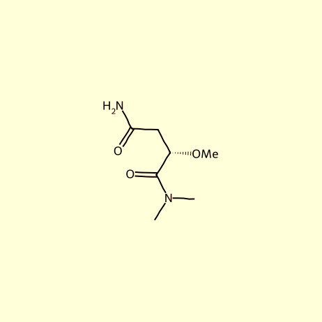 CO[C@@H](CC(N)=O)C(=O)N(C)C